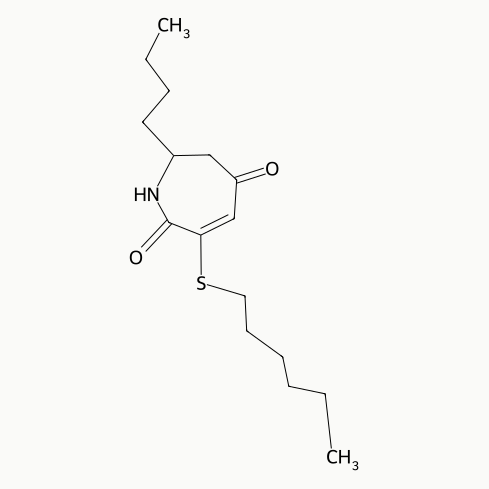 CCCCCCSC1=CC(=O)CC(CCCC)NC1=O